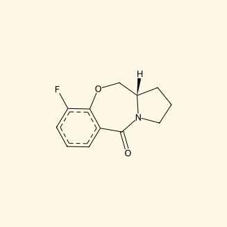 O=C1c2cccc(F)c2OC[C@@H]2CCCN12